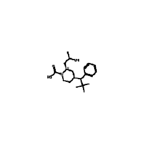 CC(O)C[C@H]1CN(C(c2ccccc2)C(C)(C)C)CCN1C(=O)O